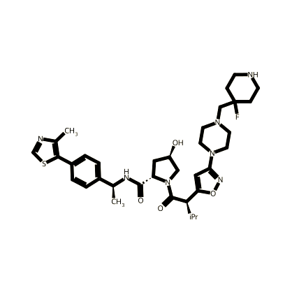 Cc1ncsc1-c1ccc([C@H](C)NC(=O)[C@@H]2C[C@@H](O)CN2C(=O)[C@@H](c2cc(N3CCN(CC4(F)CCNCC4)CC3)no2)C(C)C)cc1